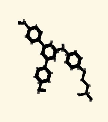 COc1ccc(-c2cc(-c3ccc(OC)cc3)nc(Nc3ccc(OCCN(C)C)cc3)n2)cc1